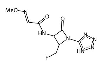 CON=CC(=O)NC1C(=O)N(c2nnn[nH]2)C1CF